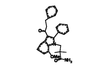 COc1cccc2c(C(=O)CCc3ccccc3)c(-c3ccccc3)n(CC(C)(C)C(N)=O)c12